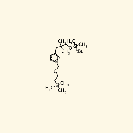 CC(C)(CO[Si](C)(C)C(C)(C)C)Cc1ccn(COCC[Si](C)(C)C)n1